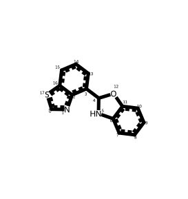 [c]1nc2c(C3Nc4ccccc4O3)cccc2s1